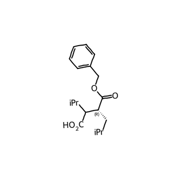 CC(C)C[C@@H](C(=O)OCc1ccccc1)C(C(=O)O)C(C)C